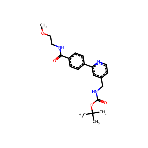 COCCNC(=O)c1ccc(-c2cc(CNC(=O)OC(C)(C)C)ccn2)cc1